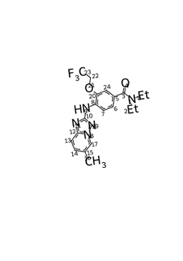 CCN(CC)C(=O)c1ccc(Nc2nc3ccc(C)cn3n2)c(OCC(F)(F)F)c1